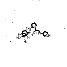 CC1(C)[C@@H]2CC3OB([C@@H]4CCCN4C(=O)CN[C@@H]4CCNC4)O[C@@]3(C)[C@H]1C2